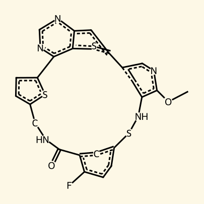 COc1ncc2cc1NSc1ccc(F)c(c1)C(=O)NCc1ccc(s1)-c1ncnc3cc-2sc13